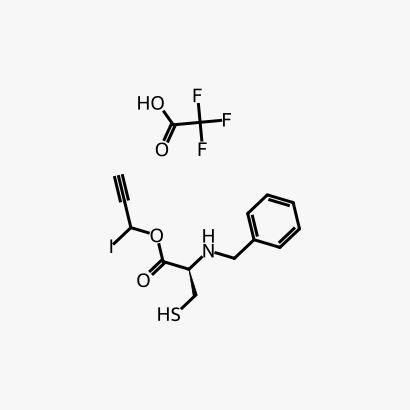 C#CC(I)OC(=O)[C@H](CS)NCc1ccccc1.O=C(O)C(F)(F)F